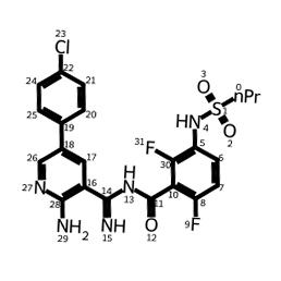 CCCS(=O)(=O)Nc1ccc(F)c(C(=O)NC(=N)c2cc(-c3ccc(Cl)cc3)cnc2N)c1F